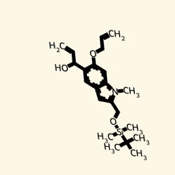 C=CCOc1cc2c(cc1C(O)C=C)cc(CO[Si](C)(C)C(C)(C)C)n2C